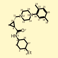 CCC1CCC(NC(=O)[C@H]2C[C@@H]2CN2CCN(c3cc(C)ccc3C)CC2)CC1